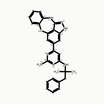 CC(C)(Cc1ccccc1)Nc1cc(-c2cc3c4c(n[nH]c4c2)Nc2ccccc2O3)nc(N)n1